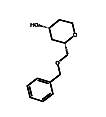 O[C@@H]1CCO[C@H](COCc2ccccc2)C1